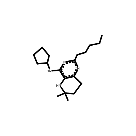 CCCCCc1nc2c(c(NC3CCCC3)n1)NC(C)(C)CC2